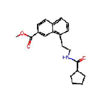 COC(=O)c1ccc2cccc(CCNC(=O)C3CCCC3)c2c1